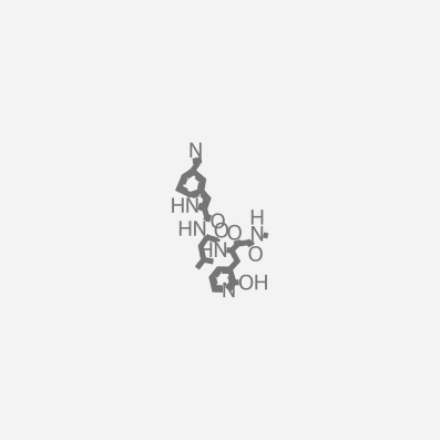 CNC(=O)C(=O)C(Cc1cccnc1O)NC(=O)C(CC(C)C)NC(=O)c1cc2cc(C#N)ccc2[nH]1